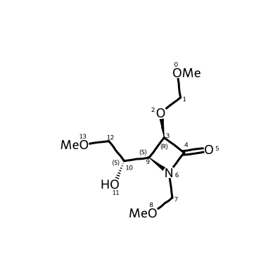 COCO[C@H]1C(=O)N(COC)[C@H]1[C@H](O)COC